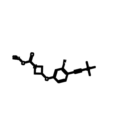 CC(C)(C)OC(=O)N1CC(Oc2ccc(C#C[Si](C)(C)C)c(F)c2)C1